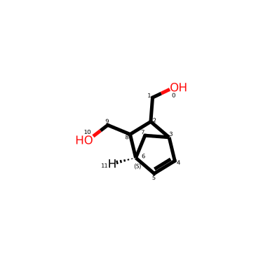 OCC1C2C=C[C@H](C2)C1CO